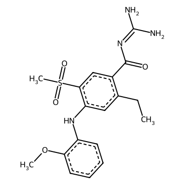 CCc1cc(Nc2ccccc2OC)c(S(C)(=O)=O)cc1C(=O)N=C(N)N